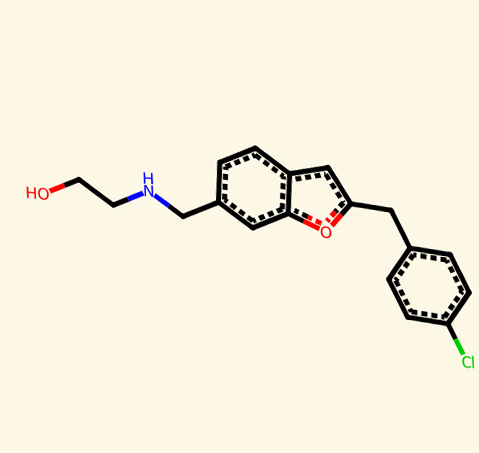 OCCNCc1ccc2cc(Cc3ccc(Cl)cc3)oc2c1